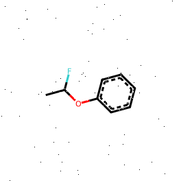 CC(F)Oc1c[c]ccc1